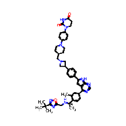 Cc1cc(-c2ncnc3[nH]c(-c4ccc(C5CN(CC6CCN(c7ccc(N8CCC(=O)NC8=O)cc7)CC6)C5)cc4)cc23)ccc1[C@@H](C)NCc1nc(C(C)(C)C)no1